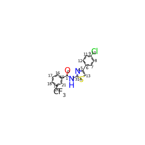 O=C(Nc1nc(-c2ccc(Cl)cc2)cs1)c1cccc(C(F)(F)F)c1